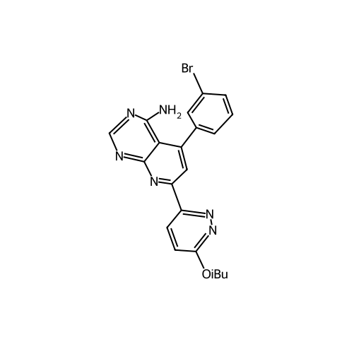 CC(C)COc1ccc(-c2cc(-c3cccc(Br)c3)c3c(N)ncnc3n2)nn1